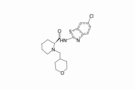 O=C(Nc1nc2ccc(Cl)cc2s1)[C@@H]1CCCCN1CC1CCOCC1